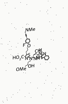 CNCC#Cc1ccc(OCCCc2sc(N(CCC(O)COC)C(=N)/C=C(/C)C(=N)Nc3nc4ccccc4s3)nc2C(=O)O)c(F)c1